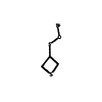 [Bi][O]SC1CSC1